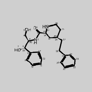 O=C(N[C@H](CO)[C@@H](O)c1ccccc1)[C@@H]1C[C@H](CCc2ccccc2)CCN1